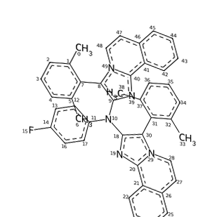 Cc1cccc(C)c1-c1c(N(c2ccc(F)cc2)c2nc3c4ccccc4ccn3c2-c2c(C)cccc2C)nc2c3ccccc3ccn12